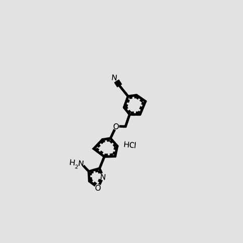 Cl.N#Cc1cccc(COc2ccc(-c3nocc3N)cc2)c1